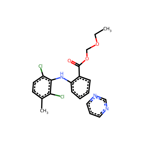 CCOCOC(=O)c1ccccc1Nc1c(Cl)ccc(C)c1Cl.c1cncnc1